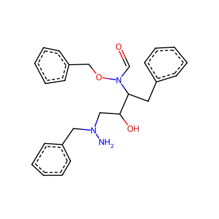 NN(Cc1ccccc1)CC(O)C(Cc1ccccc1)N(C=O)OCc1ccccc1